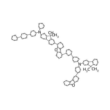 CC1(C)c2ccccc2-c2ccc(N(c3ccc(-c4cccc(-c5cccc6oc7c(-c8ccc9c(c8)C(C)(C)c8cc(N(c%10ccccc%10)c%10ccc(-c%11ccc(-c%12ccccc%12)cc%11)cc%10)ccc8-9)cccc7c56)c4)cc3)c3ccc(-c4ccc5oc6ccccc6c5c4)cc3)cc21